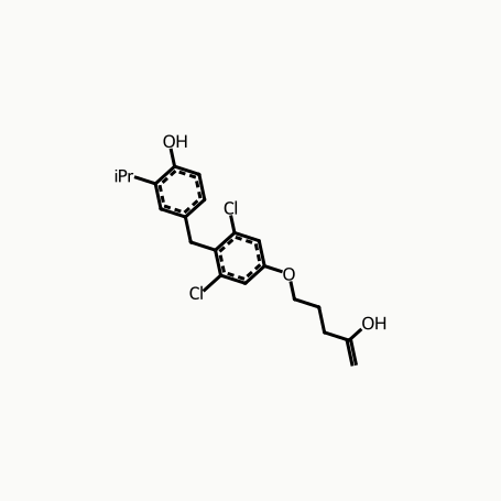 C=C(O)CCCOc1cc(Cl)c(Cc2ccc(O)c(C(C)C)c2)c(Cl)c1